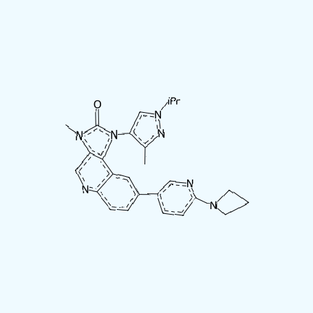 Cc1nn(C(C)C)cc1-n1c(=O)n(C)c2cnc3ccc(-c4ccc(N5CCC5)nc4)cc3c21